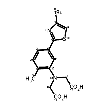 Cc1ccc(-c2nc(C(C)(C)C)cs2)cc1N(CC(=O)O)CC(=O)O